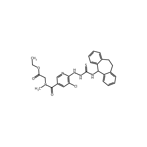 CCOC(=O)CN(C)C(=O)c1cnc(NNC(=S)NC2c3ccccc3CCc3ccccc32)c(Cl)c1